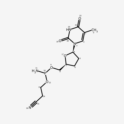 Cc1cn([C@H]2CC[C@@H](COP(N)OCCC#N)O2)c(=O)[nH]c1=O